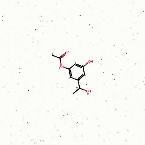 CC(=O)Oc1cc(O)cc(C(C)O)c1